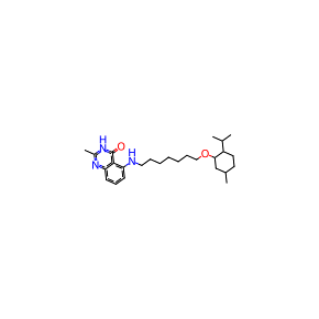 Cc1nc2cccc(NCCCCCCCOC3CC(C)CCC3C(C)C)c2c(=O)[nH]1